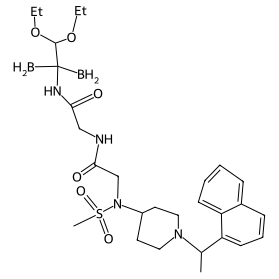 BC(B)(NC(=O)CNC(=O)CN(C1CCN(C(C)c2cccc3ccccc23)CC1)S(C)(=O)=O)C(OCC)OCC